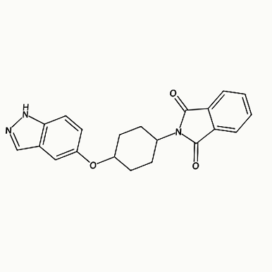 O=C1c2ccccc2C(=O)N1C1CCC(Oc2ccc3[nH]ncc3c2)CC1